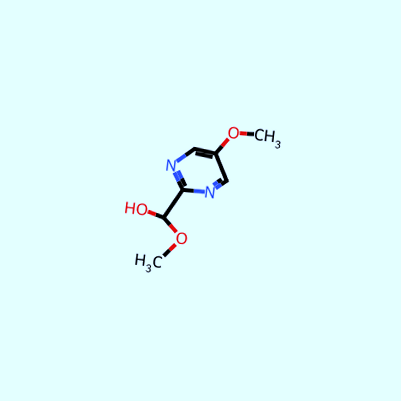 COc1cnc(C(O)OC)nc1